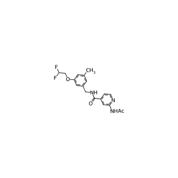 CC(=O)Nc1cc(C(=O)NCc2cc(C)cc(OCC(F)F)c2)ccn1